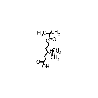 C=C(C)C(=O)OCCC(CCC(=O)O)N(C)C.O